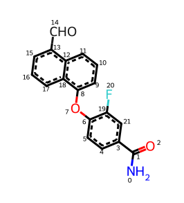 NC(=O)c1ccc(Oc2cccc3c(C=O)cccc23)c(F)c1